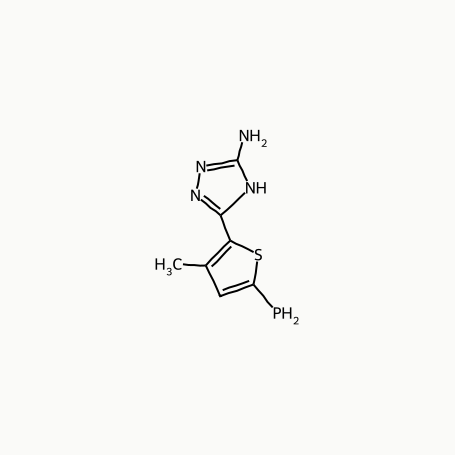 Cc1cc(P)sc1-c1nnc(N)[nH]1